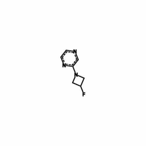 FC1CN(c2cnccn2)C1